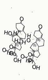 CCCC(=O)O[C@]1(C(=O)CO)CCC2C3CCC4=CC(=O)CC[C@]4(C)C3[C@@H](O)C[C@@]21C.CCCCC(=O)O[C@]1(C(=O)CO)CC[C@H]2[C@@H]3CCC4=CC(=O)CC[C@]4(C)[C@H]3[C@@H](O)C[C@@]21C